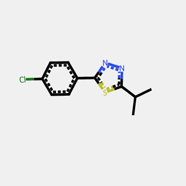 CC(C)c1nnc(-c2ccc(Cl)cc2)s1